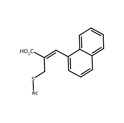 CC(=O)SCC(=Cc1cccc2ccccc12)C(=O)O